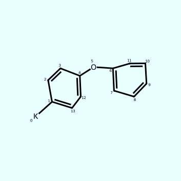 [K][c]1ccc(Oc2ccccc2)cc1